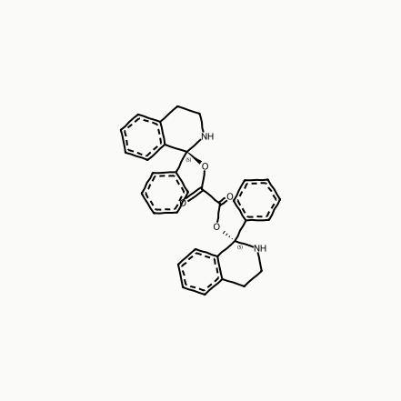 O=C(O[C@]1(c2ccccc2)NCCc2ccccc21)C(=O)O[C@]1(c2ccccc2)NCCc2ccccc21